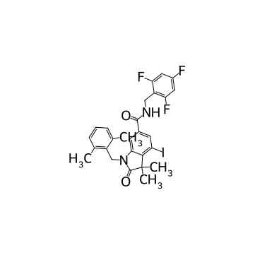 Cc1cccc(C)c1CN1C(=O)C(C)(C)c2c(I)cc(C(=O)NCc3c(F)cc(F)cc3F)cc21